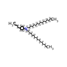 CCCCCCCCCCCCCCCCN(CCCCCCCCCCCCCCCC)c1ccc(CCCC)cc1